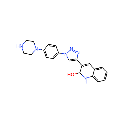 OC1Nc2ccccc2C=C1c1cn(-c2ccc(N3CCNCC3)cc2)nn1